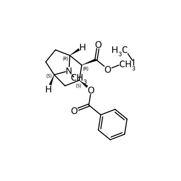 CI.COC(=O)[C@H]1[C@@H](OC(=O)c2ccccc2)C[C@@H]2CC[C@H]1N2C